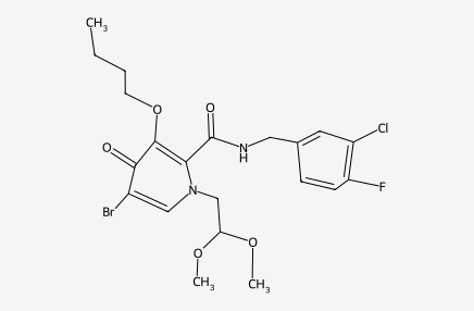 CCCCOc1c(C(=O)NCc2ccc(F)c(Cl)c2)n(CC(OC)OC)cc(Br)c1=O